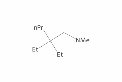 CCCC(CC)(CC)CNC